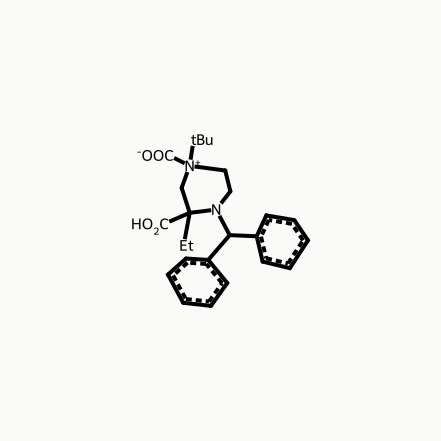 CCC1(C(=O)O)C[N+](C(=O)[O-])(C(C)(C)C)CCN1C(c1ccccc1)c1ccccc1